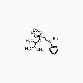 CCO[Si](CCN(c1ccccc1)C(C)(C)C)(OCC)OC(C)[SiH](C)C